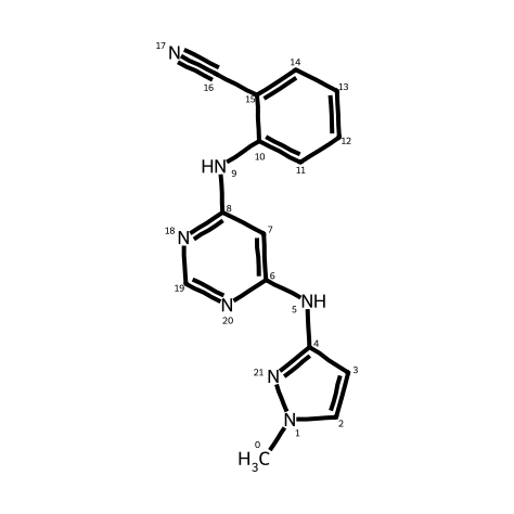 Cn1ccc(Nc2cc(Nc3ccccc3C#N)ncn2)n1